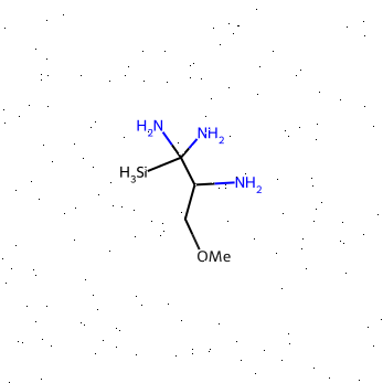 COCC(N)C(N)(N)[SiH3]